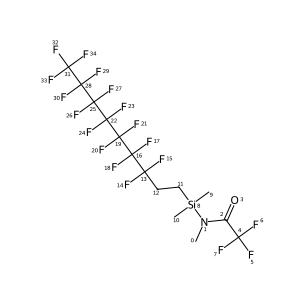 CN(C(=O)C(F)(F)F)[Si](C)(C)CCC(F)(F)C(F)(F)C(F)(F)C(F)(F)C(F)(F)C(F)(F)C(F)(F)F